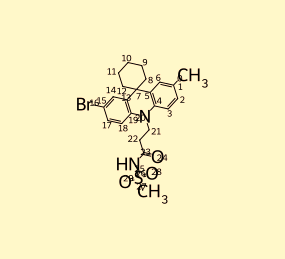 Cc1ccc2c(c1)C1(CCCCC1)c1cc(Br)ccc1N2CCC(=O)NS(C)(=O)=O